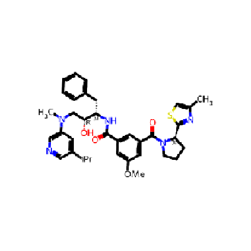 COc1cc(C(=O)N[C@@H](Cc2ccccc2)[C@H](O)CN(C)c2cncc(C(C)C)c2)cc(C(=O)N2CCC[C@@H]2c2nc(C)cs2)c1